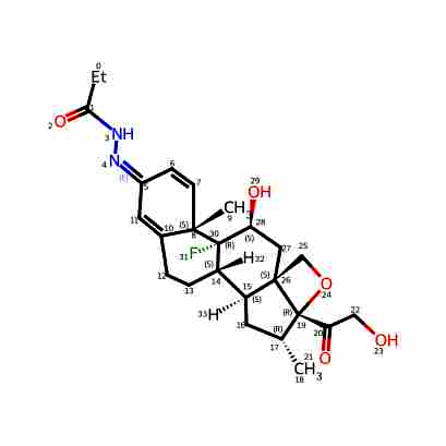 CCC(=O)N/N=C1\C=C[C@@]2(C)C(=C1)CC[C@H]1[C@@H]3C[C@@H](C)[C@@]4(C(=O)CO)OC[C@]34C[C@H](O)[C@@]12F